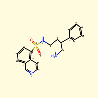 NCC(CCNS(=O)(=O)c1cccc2cnccc12)c1ccccc1